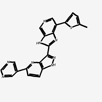 Cc1ccc(-c2cncc3[nH]c(-c4n[nH]c5ccc(-c6cncnc6)nc45)nc23)s1